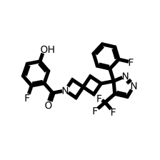 O=C(c1cc(O)ccc1F)N1CC2(CC(C3(c4ccccc4F)N=NC=C3C(F)(F)F)C2)C1